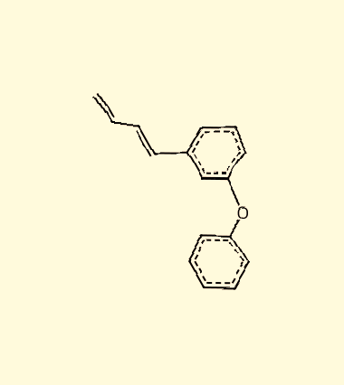 C=CC=Cc1cccc(Oc2ccccc2)c1